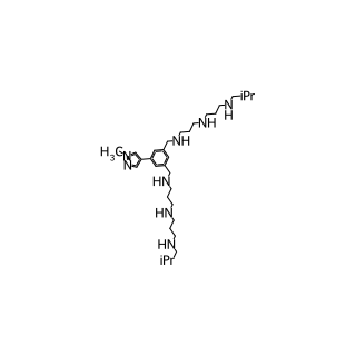 CC(C)CNCCCNCCCNCc1cc(CNCCCNCCCNCC(C)C)cc(-c2cnn(C)c2)c1